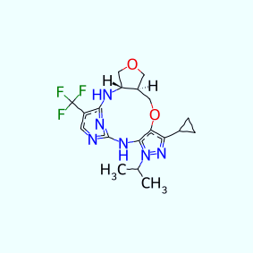 CC(C)n1nc(C2CC2)c2c1Nc1ncc(C(F)(F)F)c(n1)N[C@@H]1COC[C@H]1CO2